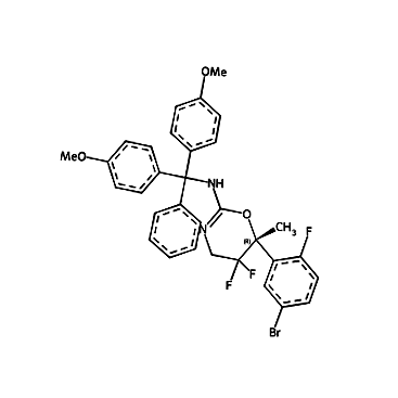 COc1ccc(C(NC2=NCC(F)(F)[C@@](C)(c3cc(Br)ccc3F)O2)(c2ccccc2)c2ccc(OC)cc2)cc1